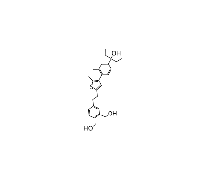 CCC(O)(CC)c1ccc(-c2cc(CCc3ccc(CO)c(CO)c3)sc2C)c(C)c1